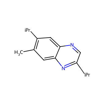 Cc1cc2nc(C(C)C)cnc2cc1C(C)C